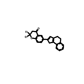 CCC1(CC)CC(=O)c2cc(C3=CC4=C(C3)c3ccccc3CC4)ccc2O1